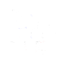 CCOC(=O)c1cnn2c(N(C(=O)OC(C)(C)C)C(=O)OC(C)(C)C)c(-c3c(C)ccc4sccc34)cnc12